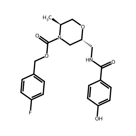 C[C@H]1CO[C@H](CNC(=O)c2ccc(O)cc2)CN1C(=O)OCc1ccc(F)cc1